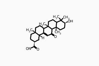 CC1(C)C2CC[C@@]3(C)C4CC[C@@]5(C)CC[C@H](C(=O)N=O)C[C@H]5C4=CC(=O)C3[C@@]2(C)CC[C@@H]1O